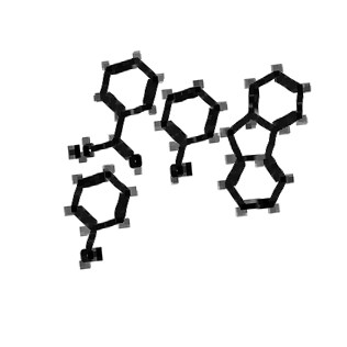 CC(=O)c1ccccc1.Oc1ccccc1.Oc1ccccc1.c1ccc2c(c1)Cc1ccccc1-2